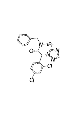 CC(C)N(Cc1ccccc1)C(=O)C(c1ccc(Cl)cc1Cl)n1cncn1